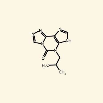 CC(C)Cn1c(=O)n2cnnc2c2nc[nH]c21